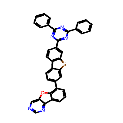 c1ccc(-c2nc(-c3ccccc3)nc(-c3ccc4c(c3)sc3cc(-c5cccc6c5oc5cncnc56)ccc34)n2)cc1